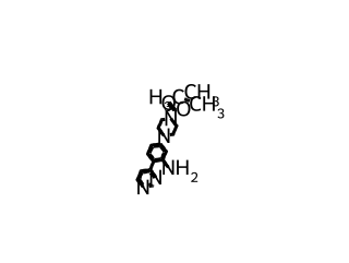 CC(C)(C)OC(=O)N1CCN(c2ccc(-c3ccncn3)c(N)c2)CC1